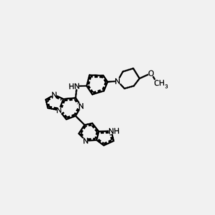 COC1CCN(c2ccc(Nc3nc(-c4cnc5cc[nH]c5c4)cn4ccnc34)cc2)CC1